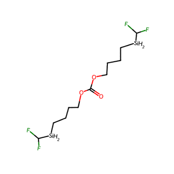 O=C(OCCCC[SiH2]C(F)F)OCCCC[SiH2]C(F)F